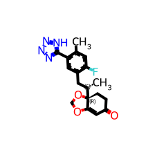 Cc1cc(F)c(C[C@H](C)[C@]23CCC(=O)C=C2OCO3)cc1-c1nnn[nH]1